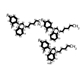 CCCCCN1CN(c2ccc(F)cc2F)c2ccccc21.CCCCCN1CN(c2ccc(F)cc2F)c2ccccc21.CCCCCN1CN(c2ccc(F)cc2F)c2ccccc21.[Ir]